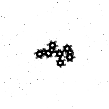 c1ccc(-c2cc(-c3cccc4sc5ccccc5c34)nc(-n3c4ccccc4c4c5sc6ccccc6c5ccc43)c2)cc1